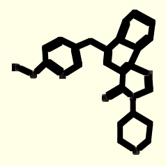 CCOc1ccc(Cc2cc3c(=O)n(C4CCOCC4)cnc3c3ccccc23)cn1